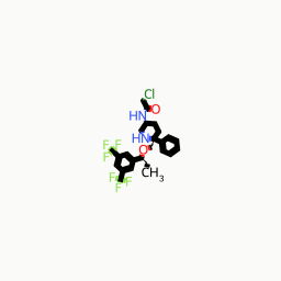 CC[C@@H](OC[C@@]1(c2ccccc2)CC[C@H](NC(=O)CCl)CN1)c1cc(C(F)(F)F)cc(C(F)(F)F)c1